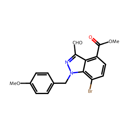 COC(=O)c1ccc(Br)c2c1c(C=O)nn2Cc1ccc(OC)cc1